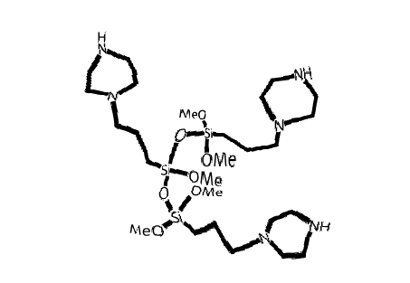 CO[Si](CCCN1CCNCC1)(OC)O[Si](CCCN1CCNCC1)(OC)O[Si](CCCN1CCNCC1)(OC)OC